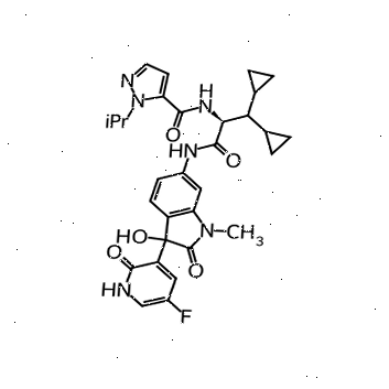 CC(C)n1nccc1C(=O)N[C@H](C(=O)Nc1ccc2c(c1)N(C)C(=O)C2(O)c1cc(F)c[nH]c1=O)C(C1CC1)C1CC1